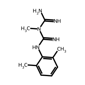 Cc1cccc(C)c1NC(=N)N(C)C(=N)N